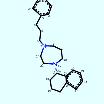 c1ccc(CCCN2CCCN([C@H]3CCCc4ccccc43)CC2)cc1